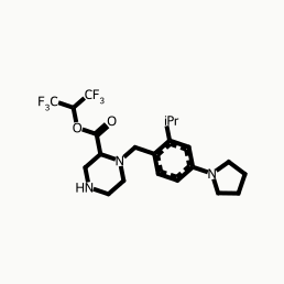 CC(C)c1cc(N2CCCC2)ccc1CN1CCNCC1C(=O)OC(C(F)(F)F)C(F)(F)F